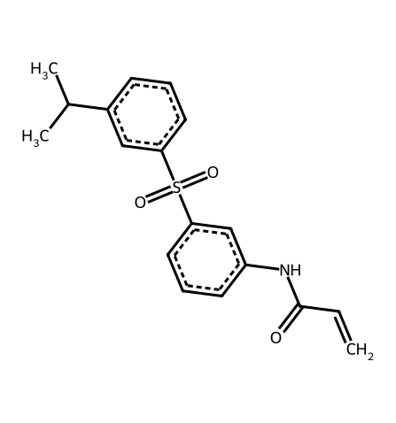 C=CC(=O)Nc1cccc(S(=O)(=O)c2cccc(C(C)C)c2)c1